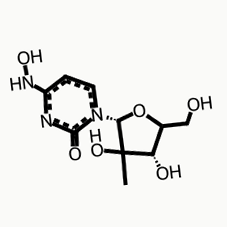 CC1(O)[C@@H](O)C(CO)O[C@H]1n1ccc(NO)nc1=O